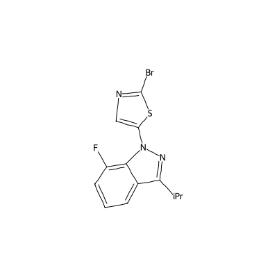 CC(C)c1nn(-c2cnc(Br)s2)c2c(F)cccc12